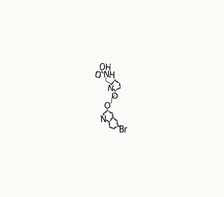 O=C(O)NCc1cccc(OCCOc2cnc3ccc(Br)cc3c2)n1